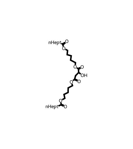 CCCCCCCC(=O)OCCCCCOC(=O)CC(O)C(=O)OCCCCCOC(=O)CCCCCCC